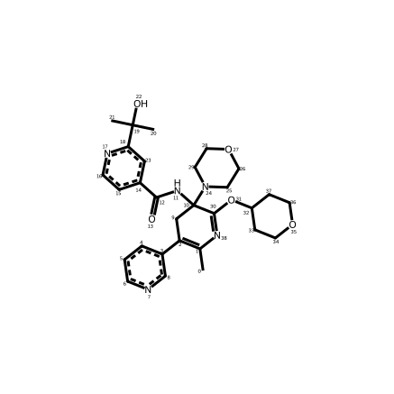 CC1=C(c2cccnc2)CC(NC(=O)c2ccnc(C(C)(C)O)c2)(N2CCOCC2)C(OC2CCOCC2)=N1